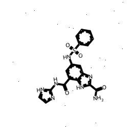 NC(=O)c1nc2cc(NS(=O)(=O)c3ccccc3)cc(C(=O)Nc3ncc[nH]3)c2[nH]1